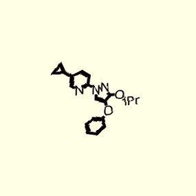 CC(C)Oc1nn(-c2ccc(C3CC3)cn2)cc1Oc1ccccc1